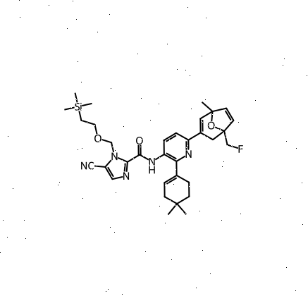 CC1(C)CC=C(c2nc(C3=CC4(C)C=CC(CF)(C3)O4)ccc2NC(=O)c2ncc(C#N)n2COCC[Si](C)(C)C)CC1